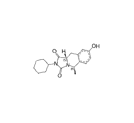 C[C@@H]1c2ccc(O)cc2C[C@H]2C(=O)N(C3CCCCC3)C(=O)N12